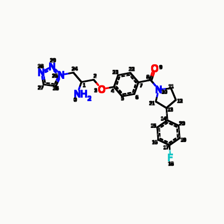 NC(COc1ccc(C(=O)N2CCC(c3ccc(F)cc3)C2)cc1)Cn1ccnn1